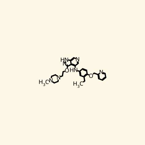 CCc1cc(Nc2cncc3[nH]nc(OCCN4CCN(C)CC4)c23)ccc1OCc1ccccn1